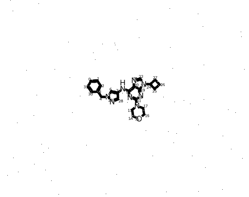 c1ccc(Cn2cc(Nc3nc(N4CCOCC4)nc4c3ncn4C3CCC3)cn2)cc1